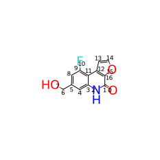 O=c1[nH]c2cc(CO)cc(F)c2c2ccoc12